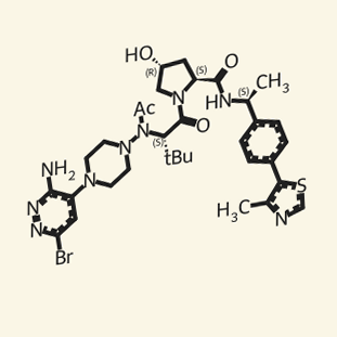 CC(=O)N([C@H](C(=O)N1C[C@H](O)C[C@H]1C(=O)N[C@@H](C)c1ccc(-c2scnc2C)cc1)C(C)(C)C)N1CCN(c2cc(Br)nnc2N)CC1